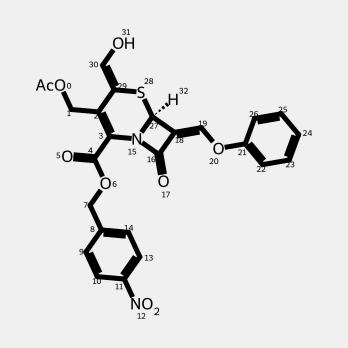 CC(=O)OCC1=C(C(=O)OCc2ccc([N+](=O)[O-])cc2)N2C(=O)C(=COc3ccccc3)[C@@H]2SC1=CO